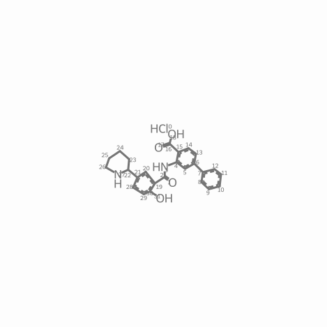 Cl.O=C(Nc1cc(-c2ccccc2)ccc1C(=O)O)c1cc(C2CCCCN2)ccc1O